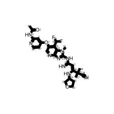 CC(=O)Nc1cc(Oc2cnc3nc(NC(=N)/C=C(\NC4CCOC4)C(C)(C)C#N)n(C)c3c2C(F)F)ccn1